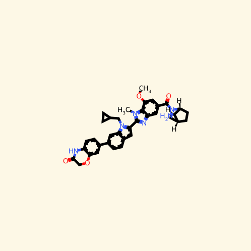 COc1cc(C(=O)N2C[C@H]3CC[C@@H]2[C@@H]3N)cc2nc(-c3cc4ccc(-c5ccc6c(c5)OCC(=O)N6)cc4n3CC3CC3)n(C)c12